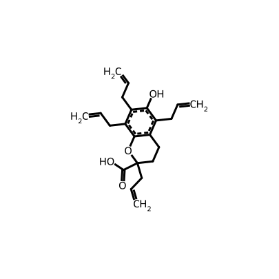 C=CCc1c(O)c(CC=C)c2c(c1CC=C)OC(CC=C)(C(=O)O)CC2